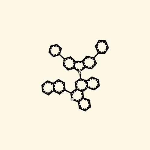 c1ccc(-c2ccc3c(c2)c2cc(-c4ccccc4)ccc2n3-c2cc3c(-c4ccc5ccccc5c4)nc4ccccc4c3c3ccccc23)cc1